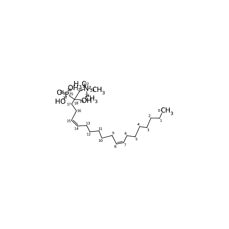 CCCCCCC/C=C\CCCCC/C=C\CCC(O)(C[N+](C)(C)C)P(=O)(O)O